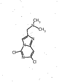 CN(C)Cc1cn2c(Cl)nc(Cl)cc2n1